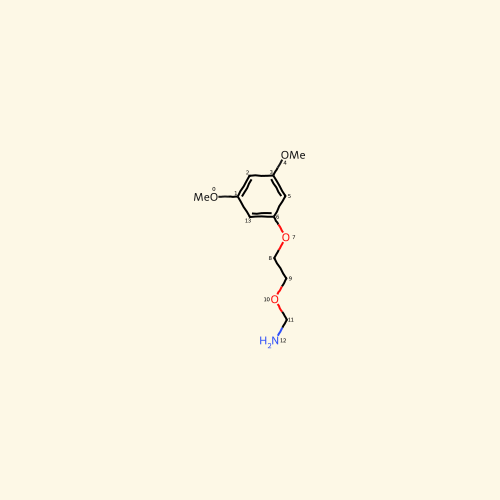 COc1cc(OC)cc(OCCOCN)c1